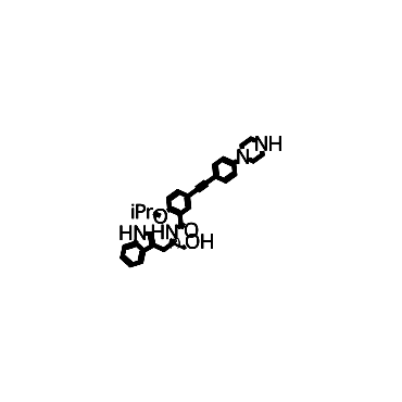 CC(C)Oc1ccc(C#Cc2ccc(N3CCNCC3)cc2)cc1C(=O)N[C@@H](CO)Cc1c[nH]c2ccccc12